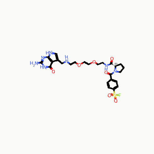 Nc1nc2[nH]cc(CNCCOCCOCCNC(=O)[C@@H]3CCCN3C(=O)c3ccc(S(=O)(=O)F)cc3)c2c(=O)[nH]1